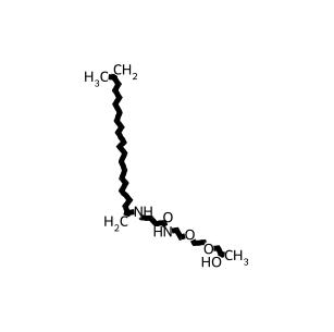 C=C(C)CCCCCCCCCCCCCCCCCCC(=C)NCCCC(=O)NCCOCCOCC(C)O